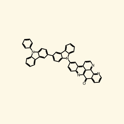 O=C1c2cccnc2-c2nccc3c2c1nc1ccc(-n2c4ccccc4c4cc(-c5ccc6c(c5)c5ccccc5n6-c5ccccc5)ccc42)cc13